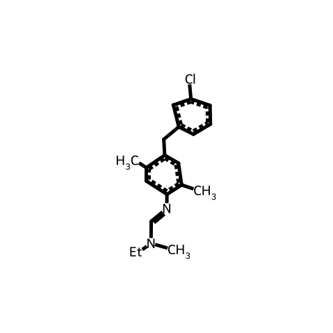 CCN(C)C=Nc1cc(C)c(Cc2cccc(Cl)c2)cc1C